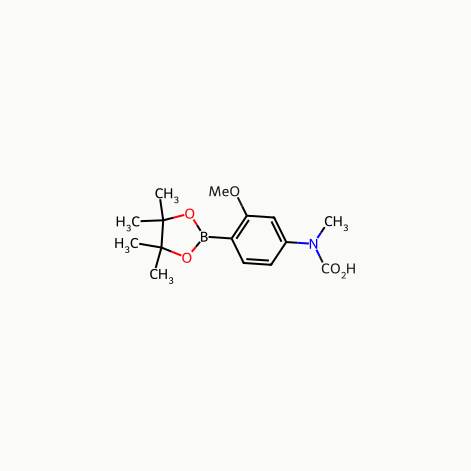 COc1cc(N(C)C(=O)O)ccc1B1OC(C)(C)C(C)(C)O1